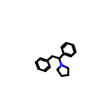 c1ccc(CC(c2ccccc2)N2CCCC2)cc1